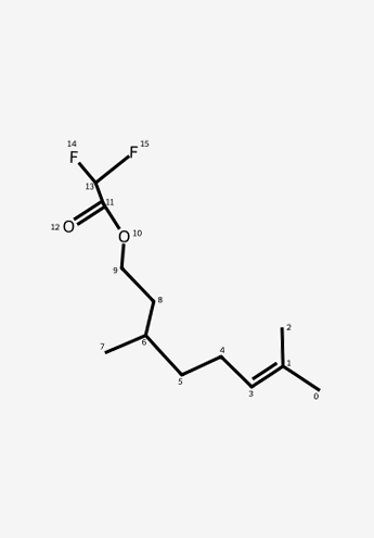 CC(C)=CCCC(C)CCOC(=O)C(F)F